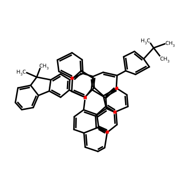 CC(C)(C)c1ccc(-c2cc(-c3ccccc3)c(N(c3ccc4c(c3)-c3ccccc3C4(C)C)c3ccc4ccccc4c3-c3ccccc3-c3ccccc3)c(-c3ccccc3)c2)cc1